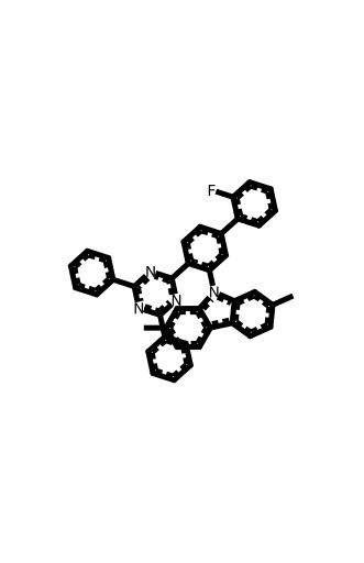 Cc1ccc2c3ccc(C)cc3n(-c3cc(-c4ccccc4F)ccc3-c3nc(-c4ccccc4)nc(-c4ccccc4)n3)c2c1